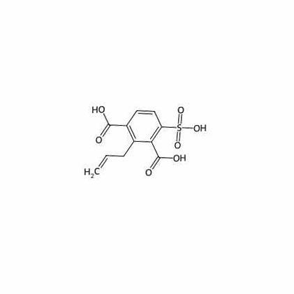 C=CCc1c(C(=O)O)ccc(S(=O)(=O)O)c1C(=O)O